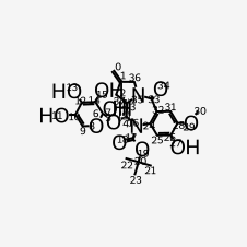 C=C1C[C@H]2[C@H](OC3(O)OC=C(O)C(O)=C3O)N(C(=O)OC(C)(C)C)c3cc(O)c(OC)cc3C(=O)N2C1